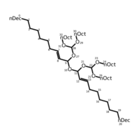 CCCCCCCCCCCCCCCCC=CC(OC(C=CCCCCCCCCCCCCCCCC)OC(OCCCCCCCC)OCCCCCCCC)OC(OCCCCCCCC)OCCCCCCCC